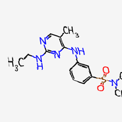 CCNc1ncc(C)c(Nc2cccc(S(=O)(=O)N(C)C)c2)n1